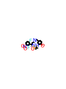 COc1ccc(CN(C)CC[C@](C)(N[S@@+]([O-])C(C)(C)C)c2c(F)ccc([N+](=O)[O-])c2F)cc1